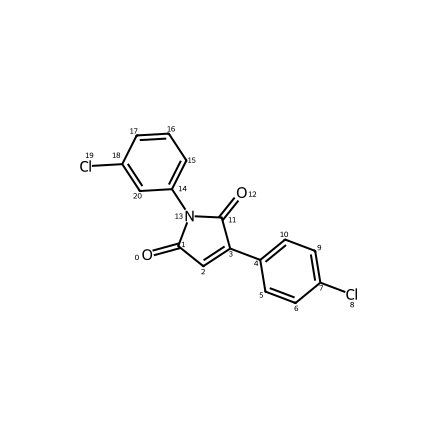 O=C1C=C(c2ccc(Cl)cc2)C(=O)N1c1cccc(Cl)c1